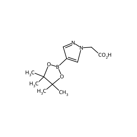 CC1(C)OB(c2cnn(CC(=O)O)c2)OC1(C)C